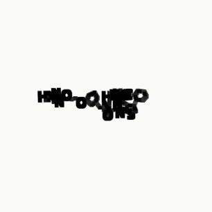 Cc1ccccc1-c1csc2nc(C(=O)NCc3cccc(OCCOc4nc[nH]n4)c3)[nH]c(=O)c12